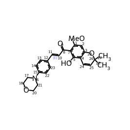 COc1cc2c(c(O)c1C(=O)/C=C/c1ccc(N3CCOCC3)cc1)C=CC(C)(C)O2